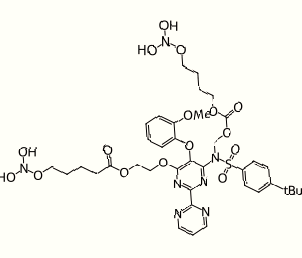 COc1ccccc1Oc1c(OCCOC(=O)CCCCON(O)O)nc(-c2ncccn2)nc1N(COC(=O)OCCCCON(O)O)S(=O)(=O)c1ccc(C(C)(C)C)cc1